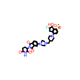 CS(=O)(=O)c1ccc(N2CCC(CN3CCN(c4ccc5c(c4)C(=O)N(C4CCC(=O)NC4=O)C5=O)CC3)CC2)c2c1[C@H](O)[C@H](F)C2